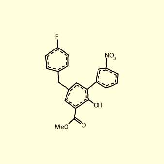 COC(=O)c1cc(Cc2ccc(F)cc2)cc(-c2cccc([N+](=O)[O-])c2)c1O